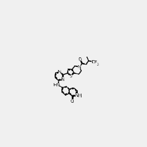 CC(CC(=O)N1CCc2sc(-c3nccc(Nc4ccc5c(=O)[nH]ccc5c4)n3)cc2C1)C(F)(F)F